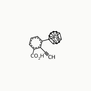 C#Cc1c(C(=O)O)cccc1[C]12[CH]3[CH]4[CH]5[CH]1[Fe]45321678[CH]2[CH]1[CH]6[CH]7[CH]28